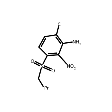 CC(C)CS(=O)(=O)c1ccc(Cl)c(N)c1[N+](=O)[O-]